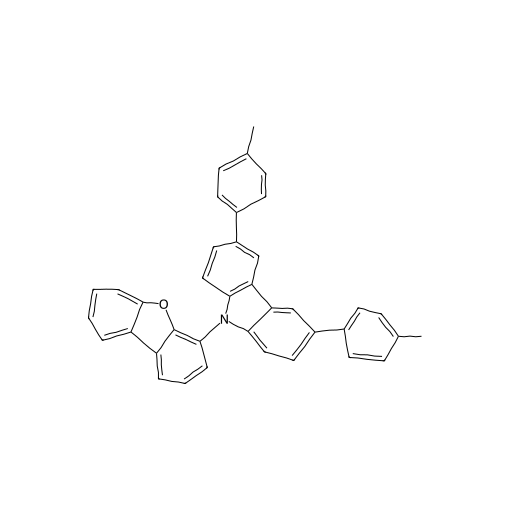 Cc1ccc(-c2ccc3c(c2)c2cc(-c4ccc(C)cc4)ccc2n3-c2cccc3c2oc2ccccc23)cc1